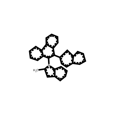 Cc1cc2ccccc2n1-c1c(-c2ccc3ccccc3c2)c2ccccc2c2ccccc12